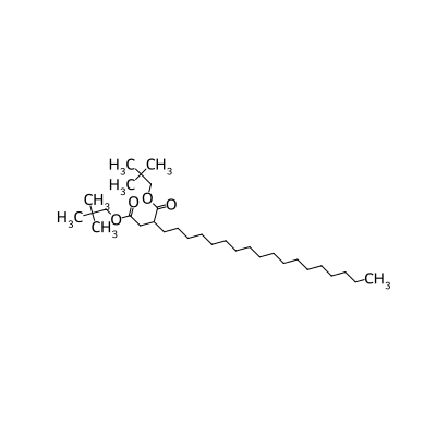 CCCCCCCCCCCCCCCCCCC(CC(=O)OCC(C)(C)C)C(=O)OCC(C)(C)C